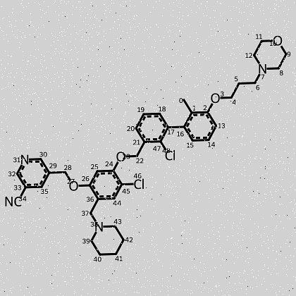 Cc1c(OCCCN2CCOCC2)cccc1-c1cccc(COc2cc(OCc3cncc(C#N)c3)c(CN3CCCCC3)cc2Cl)c1Cl